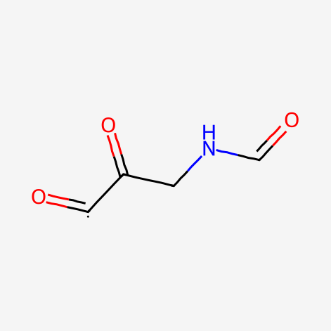 O=[C]C(=O)CNC=O